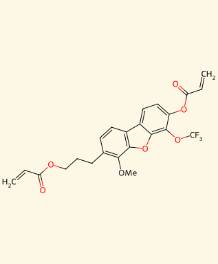 C=CC(=O)OCCCc1ccc2c(oc3c(OC(F)(F)F)c(OC(=O)C=C)ccc32)c1OC